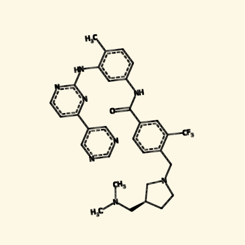 Cc1ccc(NC(=O)c2ccc(CN3CC[C@@H](CN(C)C)C3)c(C(F)(F)F)c2)cc1Nc1nccc(-c2cncnc2)n1